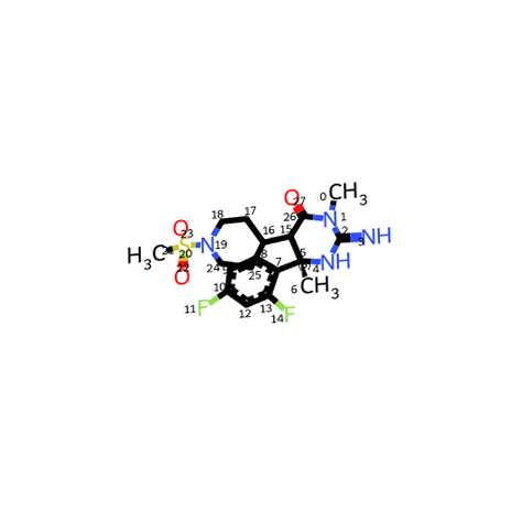 CN1C(=N)N[C@](C)(c2ccc(F)cc2F)C(C2CCN(S(C)(=O)=O)CC2)C1=O